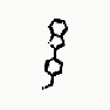 FCc1ccc(-c2cc3ccccc3s2)cc1